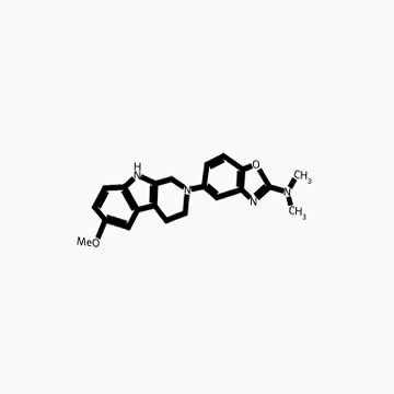 COc1ccc2[nH]c3c(c2c1)CCN(c1ccc2oc(N(C)C)nc2c1)C3